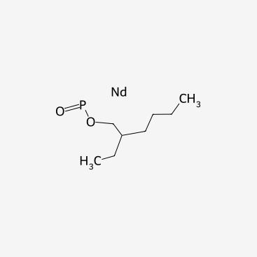 CCCCC(CC)COP=O.[Nd]